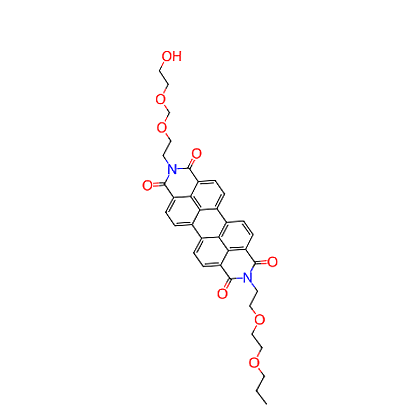 CCCOCCOCCN1C(=O)c2ccc3c4ccc5c6c(ccc(c7ccc(c2c37)C1=O)c64)C(=O)N(CCOCOCCO)C5=O